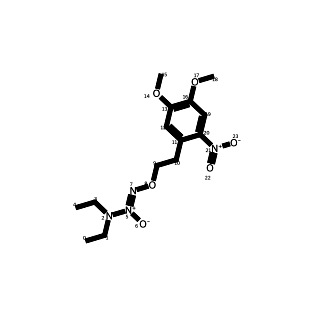 CCN(CC)[N+]([O-])=NOCCc1cc(OC)c(OC)cc1[N+](=O)[O-]